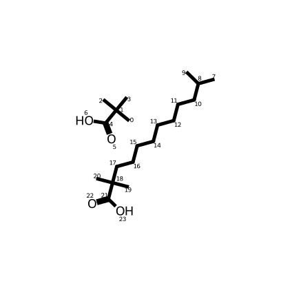 CC(C)(C)C(=O)O.CC(C)CCCCCCCCC(C)(C)C(=O)O